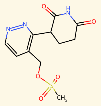 CS(=O)(=O)OCc1ccnnc1C1CCC(=O)NC1=O